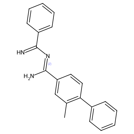 Cc1cc(/C(N)=N/C(=N)c2ccccc2)ccc1-c1ccccc1